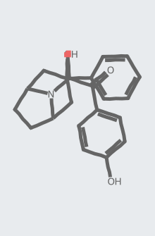 CC(C(=O)c1ccc(O)cc1)N1C2CCC1CC(O)(c1ccccc1)C2